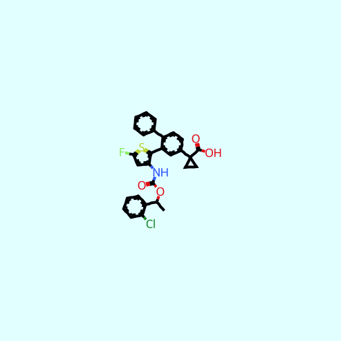 CC(OC(=O)Nc1cc(F)sc1-c1cc(C2(C(=O)O)CC2)ccc1-c1ccccc1)c1ccccc1Cl